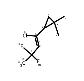 CC1(C)CC1/C(Cl)=C/C(F)(F)C(F)(F)F